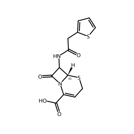 O=C(Cc1cccs1)NC1C(=O)N2C(C(=O)O)=CCS[C@@H]12